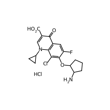 Cl.NC1CCCC1Oc1c(F)cc2c(=O)c(C(=O)O)cn(C3CC3)c2c1Cl